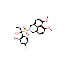 CCC(O)(c1ccc(F)cc1Br)S(=O)(=O)N(Cc1ccc(OC)cc1)Cc1ccc(OC)cc1